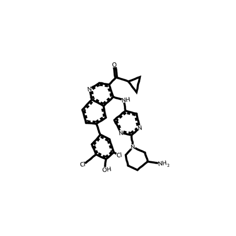 NC1CCCN(c2ncc(Nc3c(C(=O)C4CC4)cnc4ccc(-c5cc(Cl)c(O)c(Cl)c5)cc34)cn2)C1